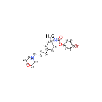 CN(C(=O)Oc1ccc(Br)cc1)[C@H]1CC[C@H](CCCCN2CCOCC2)CC1